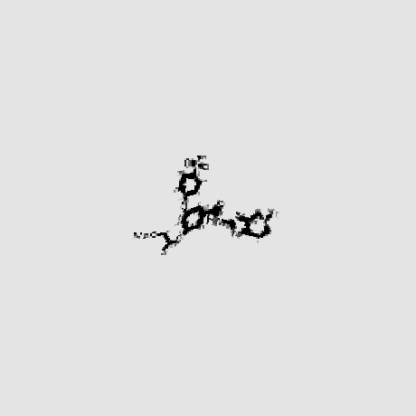 CCN1CCc2nc(NC(=O)c3cc(Oc4ccc(S(C)(=O)=O)cc4)cc(OC(C)COC)c3)sc2C1